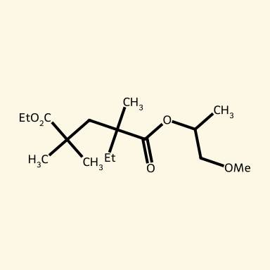 CCOC(=O)C(C)(C)CC(C)(CC)C(=O)OC(C)COC